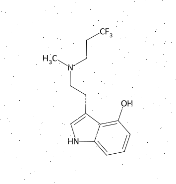 CN(CCc1c[nH]c2cccc(O)c12)CCC(F)(F)F